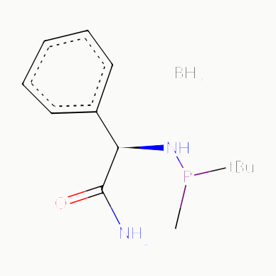 B.CP(N[C@@H](C(N)=O)c1ccccc1)C(C)(C)C